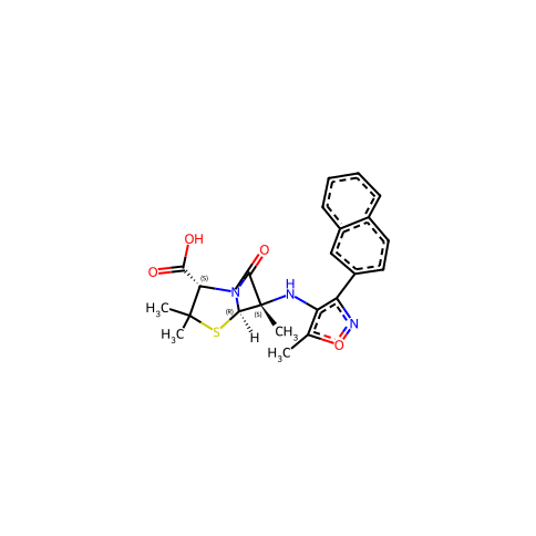 Cc1onc(-c2ccc3ccccc3c2)c1N[C@@]1(C)C(=O)N2[C@@H](C(=O)O)C(C)(C)S[C@@H]21